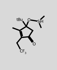 CC1=C(CC(F)(F)F)C(=O)CC1(O[SiH](C)C)C(C)(C)C